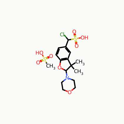 CC1(C)c2cc(C(Cl)S(=O)(=O)O)ccc2OC1N1CCOCC1.CS(=O)(=O)O